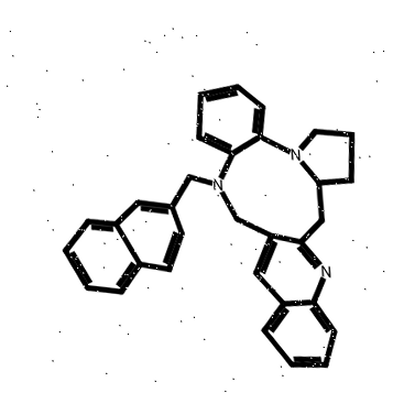 c1ccc2c(c1)N(Cc1ccc3ccccc3c1)Cc1cc3ccccc3nc1CC1CCCN21